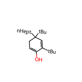 CCCCCCCC1(C(C)(C)C)C=C(C(C)(C)C)C(O)=CC1